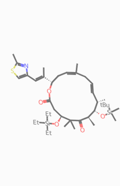 CC[Si](CC)(CC)O[C@H]1CC(=O)O[C@H](/C(C)=C/c2csc(C)n2)C/C=C(/C)C/C=C/[C@H](C)[C@H](O[Si](C)(C)C(C)(C)C)[C@@H](C)C(=O)C1(C)C